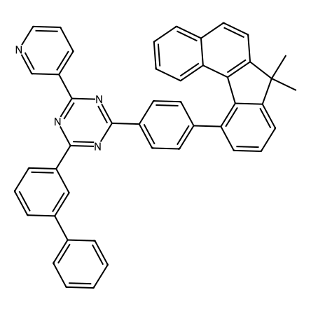 CC1(C)c2cccc(-c3ccc(-c4nc(-c5cccnc5)nc(-c5cccc(-c6ccccc6)c5)n4)cc3)c2-c2c1ccc1ccccc21